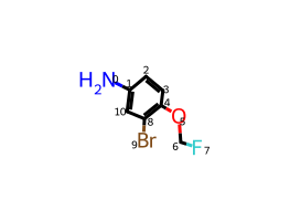 Nc1ccc(OCF)c(Br)c1